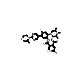 CC1COCCN1c1ncc(-c2cc(NC(=O)c3c[nH]c(=O)cc3C(F)F)c(N3CC(C)N(C)C(C)C3)cc2F)cn1